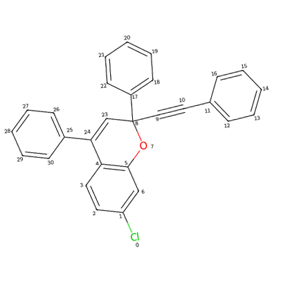 Clc1ccc2c(c1)OC(C#Cc1ccccc1)(c1ccccc1)C=C2c1ccccc1